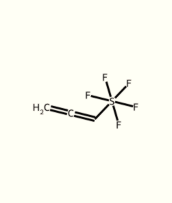 C=C=CS(F)(F)(F)(F)F